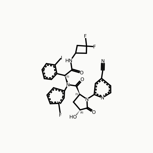 N#Cc1ccnc(N2C(=O)[C@H](O)C[C@H]2C(=O)N(c2cccc(F)c2)[C@H](C(=O)NC2CC(F)(F)C2)c2ccccc2I)c1